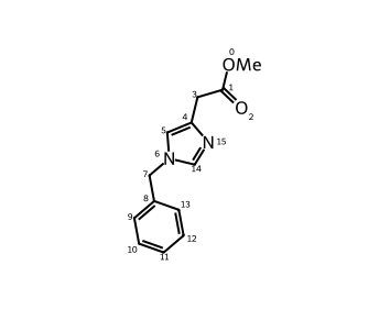 COC(=O)Cc1cn(Cc2ccccc2)cn1